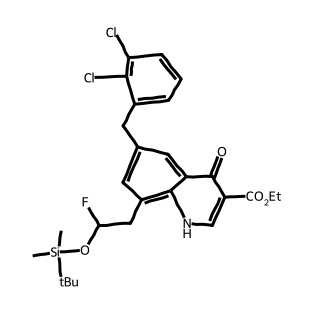 CCOC(=O)c1c[nH]c2c(CC(F)O[Si](C)(C)C(C)(C)C)cc(Cc3cccc(Cl)c3Cl)cc2c1=O